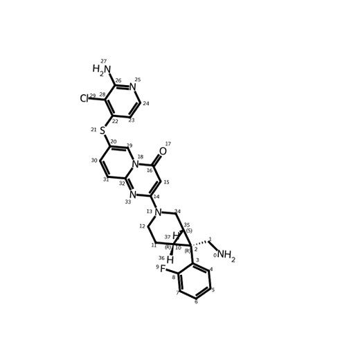 NC[C@]1(c2ccccc2F)[C@@H]2CCN(c3cc(=O)n4cc(Sc5ccnc(N)c5Cl)ccc4n3)C[C@@H]21